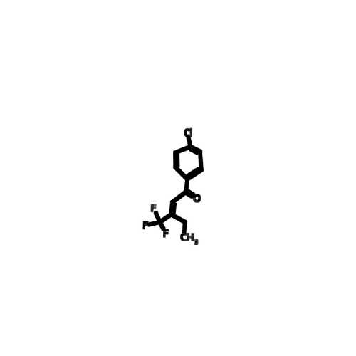 CC/C(=C\C(=O)c1ccc(Cl)cc1)C(F)(F)F